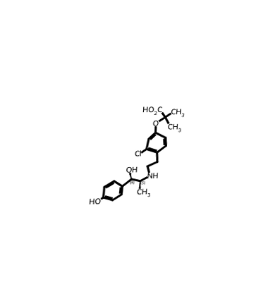 C[C@H](NCCc1ccc(OC(C)(C)C(=O)O)cc1Cl)[C@H](O)c1ccc(O)cc1